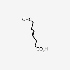 O=CCCC=CCCC(=O)O